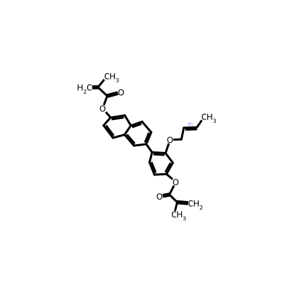 C=C(C)C(=O)Oc1ccc(-c2ccc3cc(OC(=O)C(=C)C)ccc3c2)c(OC/C=C/C)c1